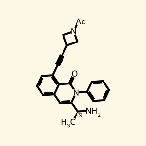 CC(=O)N1CC(C#Cc2cccc3cc([C@H](C)N)n(-c4ccccc4)c(=O)c23)C1